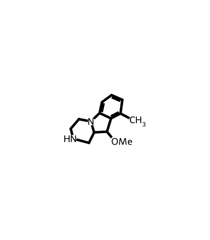 COC1c2c(C)cccc2N2CCNCC12